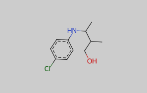 CC(CO)C(C)Nc1ccc(Cl)cc1